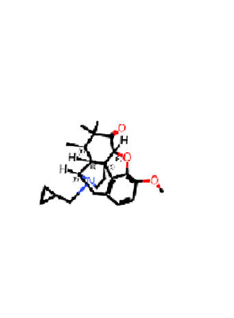 COc1ccc2c3c1O[C@H]1C(=O)C(C)(C)[C@H](C)[C@H]4[C@@H](C2)N(CC2CC2)CC[C@@]341